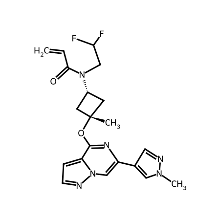 C=CC(=O)N(CC(F)F)[C@H]1C[C@@](C)(Oc2nc(-c3cnn(C)c3)cn3nccc23)C1